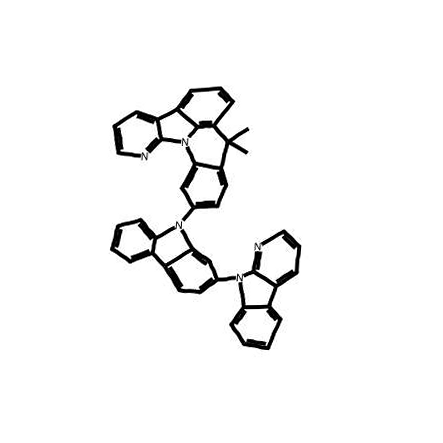 CC1(C)c2ccc(-n3c4ccccc4c4ccc(-n5c6ccccc6c6cccnc65)cc43)cc2-n2c3ncccc3c3cccc1c32